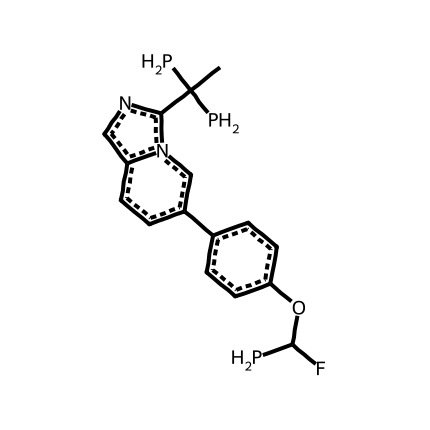 CC(P)(P)c1ncc2ccc(-c3ccc(OC(F)P)cc3)cn12